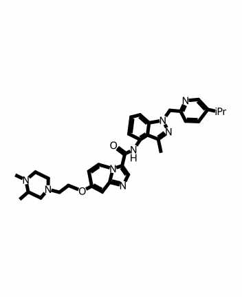 Cc1nn(Cc2ccc(C(C)C)cn2)c2cccc(NC(=O)c3cnc4cc(OCCN5CCN(C)C(C)C5)ccn34)c12